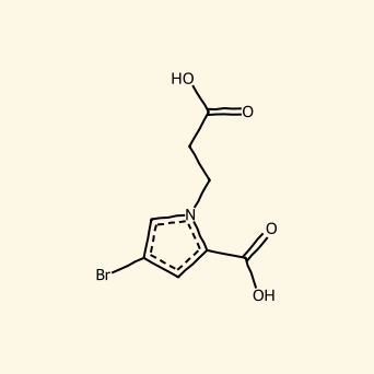 O=C(O)CCn1cc(Br)cc1C(=O)O